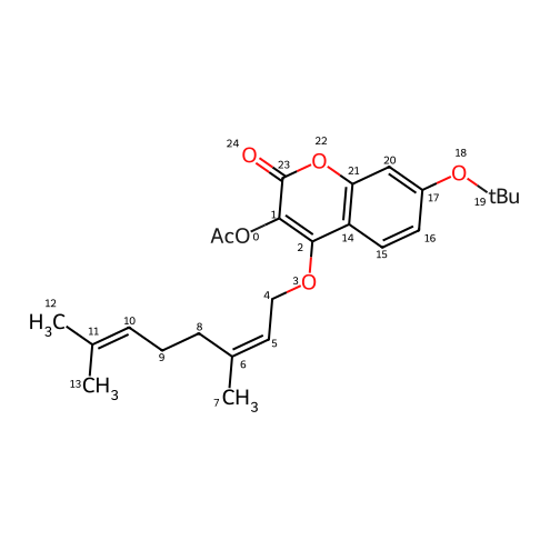 CC(=O)Oc1c(OCC=C(C)CCC=C(C)C)c2ccc(OC(C)(C)C)cc2oc1=O